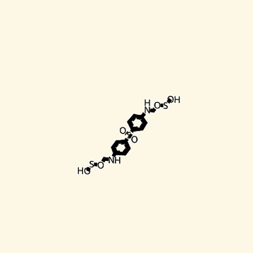 O=S(=O)(c1ccc(NCOSO)cc1)c1ccc(NCOSO)cc1